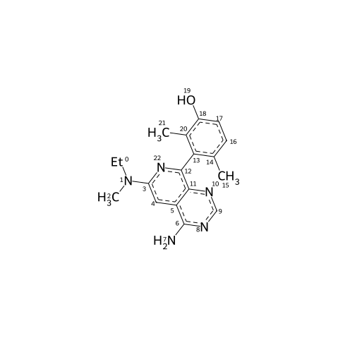 CCN(C)c1cc2c(N)ncnc2c(-c2c(C)ccc(O)c2C)n1